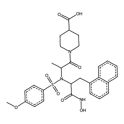 COc1ccc(S(=O)(=O)N(C(C)C(=O)N2CCC(C(=O)O)CC2)C(Cc2cccc3ccccc23)C(=O)NO)cc1